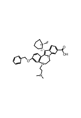 CN(C)CCN1CCn2c(c([C@@H]3CCCC[C@H]3F)c3ccc(C(=O)O)cc32)-c2ccc(OCc3ccccc3)cc21